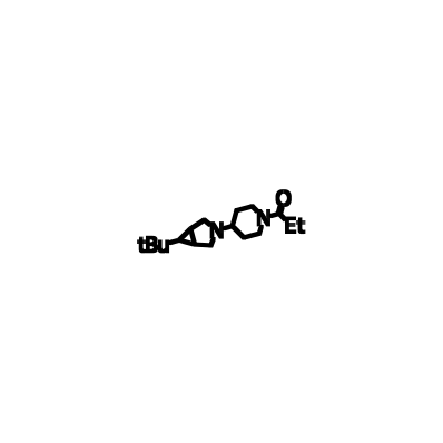 CCC(=O)N1CCC(N2CC3C(C2)C3C(C)(C)C)CC1